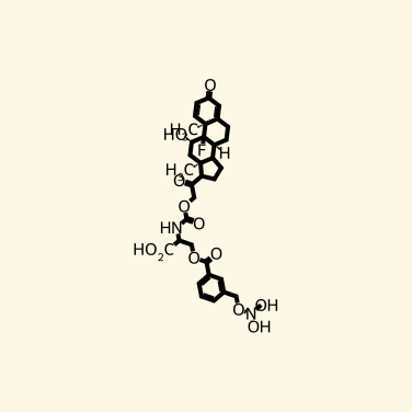 C[C@]12C[C@H](O)C3(F)[C@@H](CCC4=CC(=O)C=C[C@@]43C)C1CCC2C(=O)COC(=O)NC(COC(=O)c1cccc(CON(O)O)c1)C(=O)O